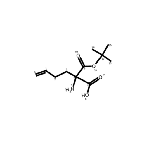 C=CCCC(N)(C(=O)O)C(=O)OC(C)(C)C